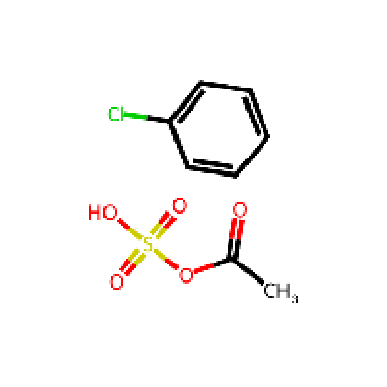 CC(=O)OS(=O)(=O)O.Clc1ccccc1